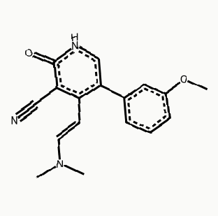 COc1cccc(-c2c[nH]c(=O)c(C#N)c2C=CN(C)C)c1